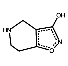 Oc1noc2c1CNCC2